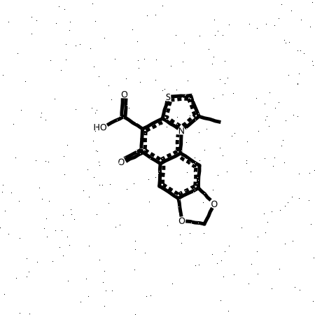 Cc1csc2c(C(=O)O)c(=O)c3cc4c(cc3n12)OCO4